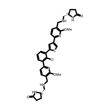 COc1nc(-c2csc(-c3cccc(-c4ccc(CNC[C@@H]5CCC(=O)N5)c(OC)n4)c3Cl)c2)ccc1CNC[C@@H]1CCC(=O)N1